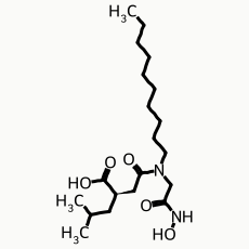 CCCCCCCCCCN(CC(=O)NO)C(=O)C[C@@H](CC(C)C)C(=O)O